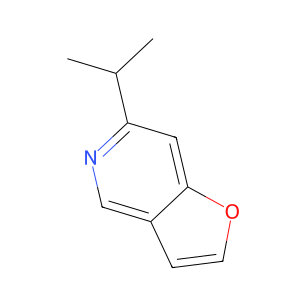 CC(C)c1cc2occc2cn1